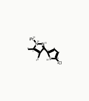 Cc1c(I)c(-c2ccc(Cl)s2)nn1C(C)C